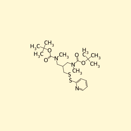 CN(CC(CSSc1ccccn1)CN(C)C(=O)OC(C)(C)C)C(=O)OC(C)(C)C